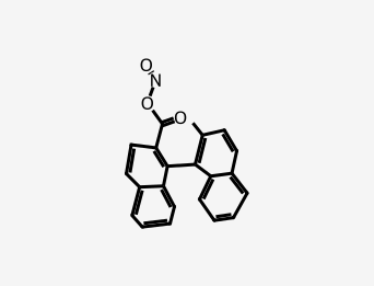 Cc1ccc2ccccc2c1-c1c(C(=O)ON=O)ccc2ccccc12